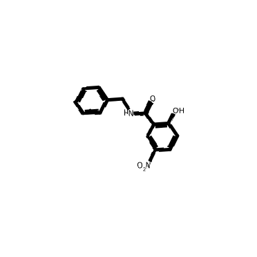 O=C(NCc1ccccc1)c1cc([N+](=O)[O-])ccc1O